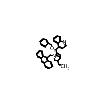 C=CC1C[N+]2(Cc3c4ccccc4cc4ccccc34)CCC1CC2[C@H](OCc1ccccc1)c1ccnc2ccccc12